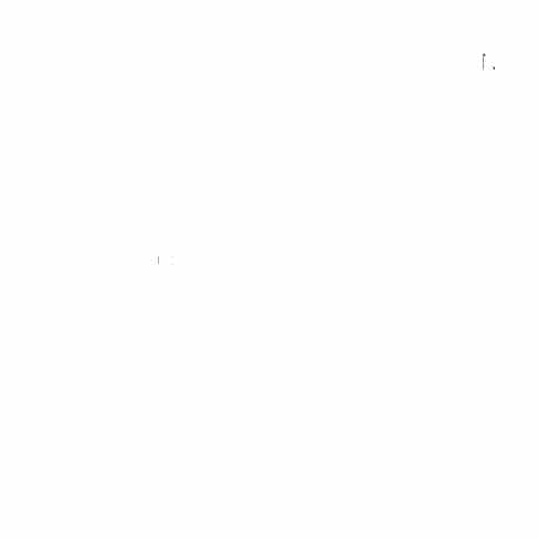 C=CCC1C(OCc2ccccc2)=CC=CC1C=CC#N